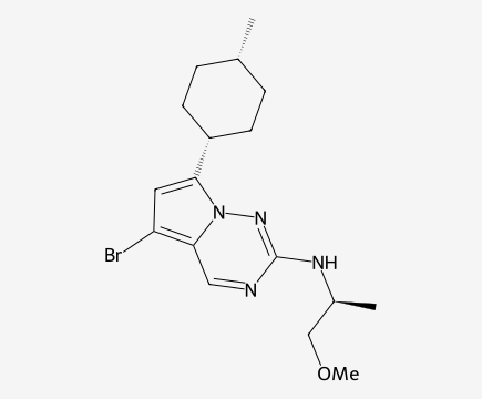 COC[C@H](C)Nc1ncc2c(Br)cc([C@H]3CC[C@@H](C)CC3)n2n1